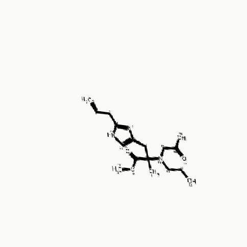 C=CCc1nc(CC(C)(C(=O)OC)N(CCO)CC(=O)O)c[nH]1